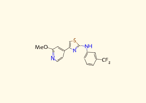 COc1cc(-c2csc(Nc3cccc(C(F)(F)F)c3)n2)ccn1